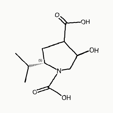 CC(C)[C@@H]1CC(C(=O)O)C(O)CN1C(=O)O